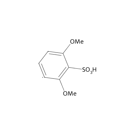 COc1[c]ccc(OC)c1S(=O)(=O)O